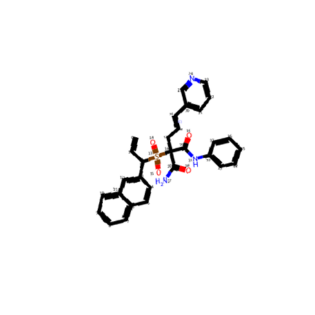 C=CC(c1ccc2ccccc2c1)S(=O)(=O)C(C/C=C/c1cccnc1)(C(N)=O)C(=O)Nc1ccccc1